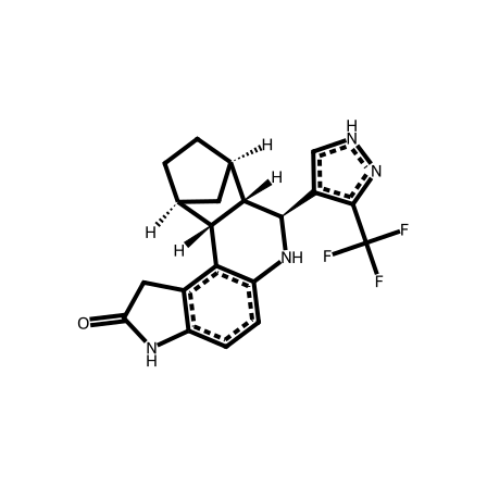 O=C1Cc2c(ccc3c2[C@@H]2[C@H]4CC[C@H](C4)[C@@H]2[C@@H](c2c[nH]nc2C(F)(F)F)N3)N1